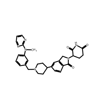 CN(c1cccc(CN2CCC(c3ccc4c(c3)CN(C3CCC(=O)NC3=O)C4=O)CC2)c1)c1ncccn1